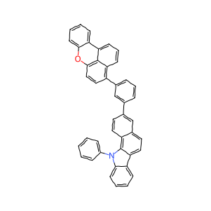 c1ccc(-n2c3ccccc3c3ccc4cc(-c5cccc(-c6ccc7c8c(cccc68)-c6ccccc6O7)c5)ccc4c32)cc1